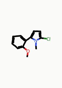 COc1ccccc1-c1ccc(Cl)n1C